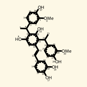 COc1cc(C(C)c2c(O)cc(/C=C/c3ccc(O)c(O)c3)c(C(C)c3ccc(O)c(OC)c3)c2O)ccc1O